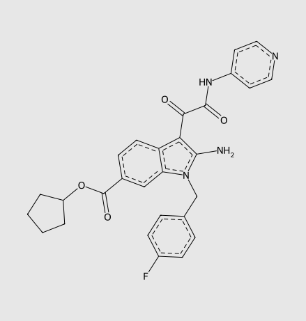 Nc1c(C(=O)C(=O)Nc2ccncc2)c2ccc(C(=O)OC3CCCC3)cc2n1Cc1ccc(F)cc1